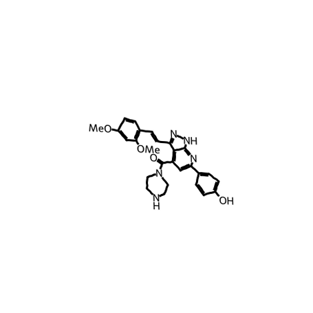 COc1ccc(/C=C/c2n[nH]c3nc(-c4ccc(O)cc4)cc(C(=O)N4CCNCC4)c23)c(OC)c1